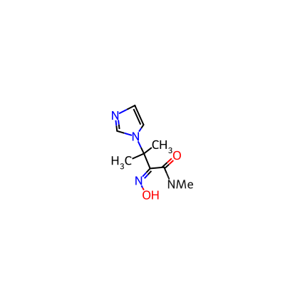 CNC(=O)C(=NO)C(C)(C)n1ccnc1